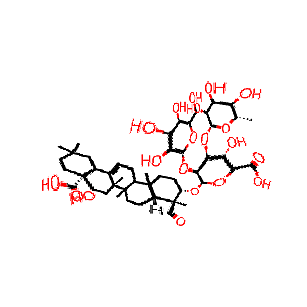 C[C@@H]1O[C@@H](O[C@@H]2C(O[C@@H]3OC(CO)[C@H](O)[C@H](O)C3O)[C@H](O[C@H]3CCC4(C)C5CC=C6C7CC(C)(C)CC[C@]7(C(=O)O)[C@@H](O)C[C@@]6(C)C5(C)CC[C@H]4[C@@]3(C)C=O)OC(C(=O)O)[C@H]2O)C(O)C(O)[C@H]1O